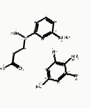 CCCCN(CCC(=O)OC)c1cccc(NC(C)=O)c1.N#Cc1cc(Br)c(N)c(Br)c1